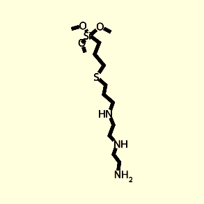 CO[Si](CCCSCCCNCCNCCN)(OC)OC